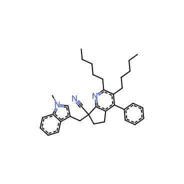 CCCCCc1nc2c(c(-c3ccccc3)c1CCCCC)CCC2(C#N)Cc1cn(C)c2ccccc12